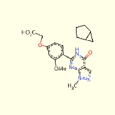 C1CC2CC2C1.COc1cc(OCC(=O)O)ccc1-c1nc2c(cnn2C)c(=O)[nH]1